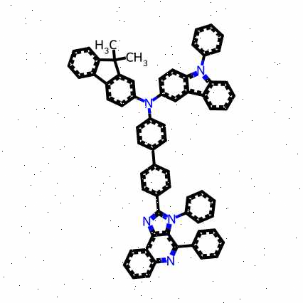 CC1(C)c2ccccc2-c2ccc(N(c3ccc(-c4ccc(-c5nc6c7ccccc7nc(-c7ccccc7)c6n5-c5ccccc5)cc4)cc3)c3ccc4c(c3)c3ccccc3n4-c3ccccc3)cc21